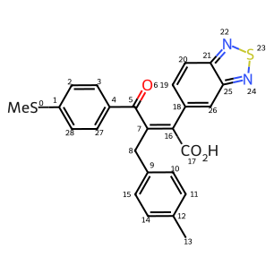 CSc1ccc(C(=O)/C(Cc2ccc(C)cc2)=C(/C(=O)O)c2ccc3nsnc3c2)cc1